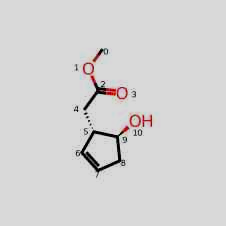 COC(=O)C[C@H]1C=CC[C@@H]1O